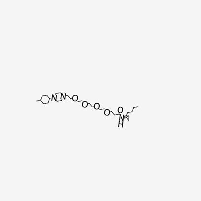 CCCC[C@@H](C)NC(=O)CCOCCOCCOCCOCCN1CCN([C@H]2CC[C@H](C)CC2)CC1